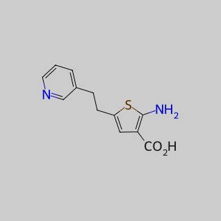 Nc1sc(CCc2cccnc2)cc1C(=O)O